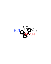 NC1CCC(CO[C@H](CO)c2cc(C(F)(F)F)cc(C(F)(F)F)c2)(c2ccccc2)CC1